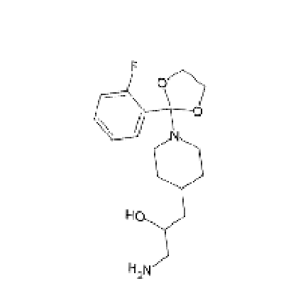 NCC(O)CC1CCN(C2(c3ccccc3F)OCCO2)CC1